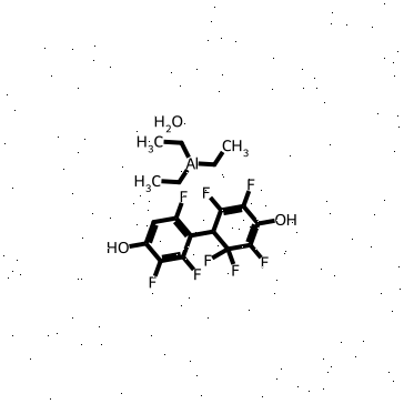 C[CH2][Al]([CH2]C)[CH2]C.O.OC1=C(F)C(F)(F)C(c2c(F)cc(O)c(F)c2F)C(F)=C1F